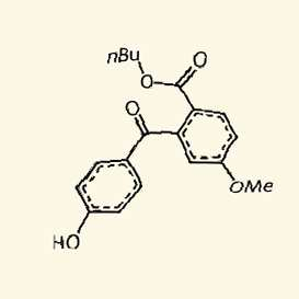 CCCCOC(=O)c1ccc(OC)cc1C(=O)c1ccc(O)cc1